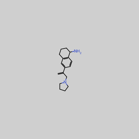 C=C(CN1CCCC1)c1ccc2c(c1)CCCC2N